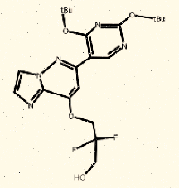 CC(C)(C)Oc1ncc(-c2cc(OCC(F)(F)CO)c3nccn3n2)c(OC(C)(C)C)n1